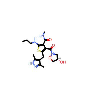 CCCNc1sc(Cc2c(C)n[nH]c2C)c(C(=O)N2C[C@H](O)CO2)c1C(=O)NC